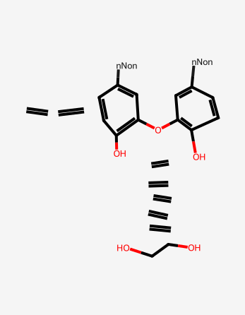 C=C.C=C.C=C.C=C.C=C.C=C.C=C.CCCCCCCCCc1ccc(O)c(Oc2cc(CCCCCCCCC)ccc2O)c1.OCCO